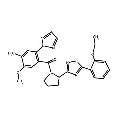 CCOc1ccccc1-c1nc(C2CCCN2C(=O)c2cc(OC)c(C)cc2-n2nccn2)no1